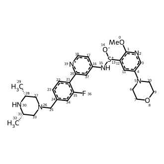 COc1ncc(N2CCOCC2)cc1[S+]([O-])Nc1ccnc(-c2ccc(CN3C[C@@H](C)N[C@@H](C)C3)cc2F)c1